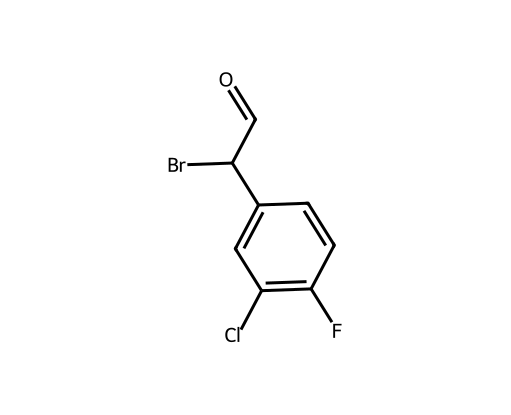 O=CC(Br)c1ccc(F)c(Cl)c1